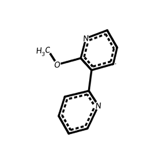 COc1ncc[c]c1-c1ccccn1